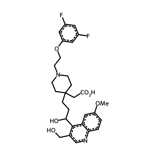 COc1ccc2ncc(CO)c(C(O)CCC3(CC(=O)O)CCN(CCOc4cc(F)cc(F)c4)CC3)c2c1